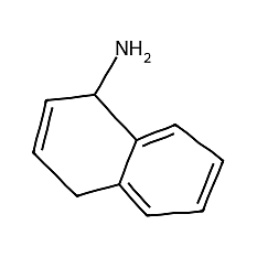 NC1C=CCc2ccccc21